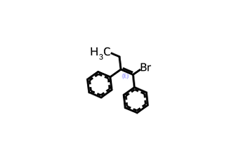 CC/C(=C(\Br)c1ccccc1)c1ccccc1